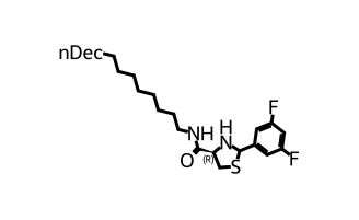 CCCCCCCCCCCCCCCCCCNC(=O)[C@@H]1CSC(c2cc(F)cc(F)c2)N1